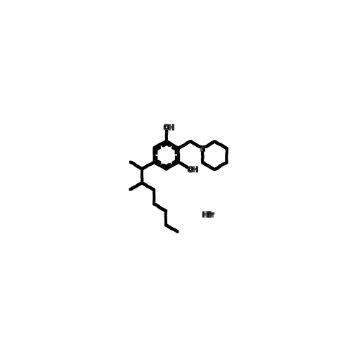 Br.CCCCCC(C)C(C)c1cc(O)c(CN2CCCCC2)c(O)c1